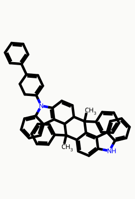 CC1(c2ccccc2)c2c(ccc3[nH]c4ccccc4c23)C(C)(c2ccccc2)C2c3c(n(C4=CC=C(c5ccccc5)CC4)c4ccccc34)C=CC21